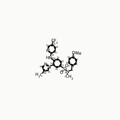 COc1ccc(CN(C)S(=O)(=O)c2ccc(Nc3ccc(C(F)(F)F)cn3)c(-n3cc(C)cn3)c2)cc1